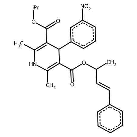 CC1=C(C(=O)OC(C)C)C(c2cccc([N+](=O)[O-])c2)C(C(=O)OC(C)C=Cc2ccccc2)=C(C)N1